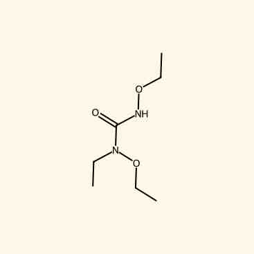 CCONC(=O)N(CC)OCC